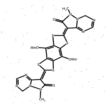 COc1c2c(c(OC)c3c1SC(=c1c(=O)n(C)n4c1=NC=NC4)S3)SC(=c1c(=O)n(C)n3c1=NC=NC3)S2